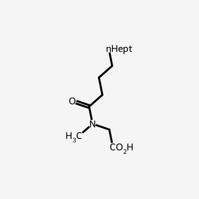 CCCCCCCCCCC(=O)N(C)CC(=O)O